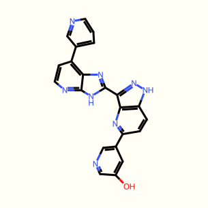 Oc1cncc(-c2ccc3[nH]nc(-c4nc5c(-c6cccnc6)ccnc5[nH]4)c3n2)c1